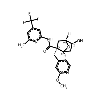 COc1cc(C[C@]2(C(=O)Nc3cc(C(F)(F)F)cc(C)n3)C[C@H]3O[C@@H]2C[C@@H]3O)ccn1